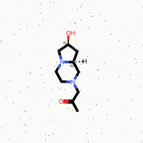 CC(=O)CN1CCN2C[C@@H](O)C[C@H]2C1